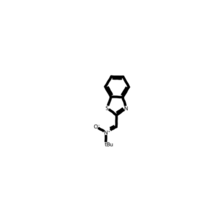 CC(C)(C)[N+]([O-])=Cc1nc2ccccc2s1